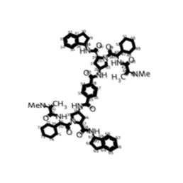 CN[C@@H](C)C(=O)N[C@H](C(=O)N1C[C@@H](NC(=O)c2ccc(C(=O)N[C@H]3C[C@@H](C(=O)N[C@@H]4CCc5ccccc54)N(C(=O)[C@@H](NC(=O)[C@H](C)NC)C4CCCCC4)C3)cc2)CC1C(=O)N[C@@H]1CCc2ccccc21)C1CCCCC1